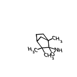 CC12CCC(C1)C(C)(C)C21NO1